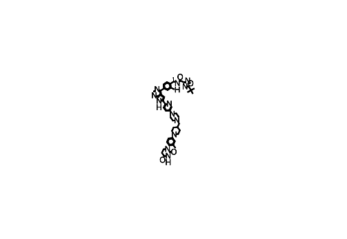 Cc1cc(-c2ncnc3[nH]c(-c4ccc(N5CCN(CC6CCN(c7ccc(N8CCC(=O)NC8=O)c(C)c7)CC6)CC5)cn4)cc23)ccc1[C@@H](C)NC(=O)c1noc(C(C)(C)C)n1